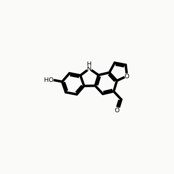 O=Cc1cc2c3ccc(O)cc3[nH]c2c2ccoc12